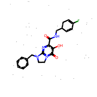 O=C(NCC1C=CC(F)=CC1)c1nc2n(c(=O)c1O)CCN2Cc1ccccc1